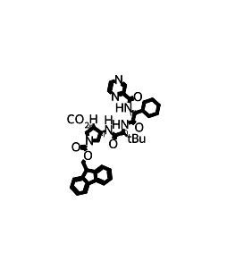 CC(C)(C)[C@H](NC(=O)[C@@H](NC(=O)c1cnccn1)C1CCCCC1)C(=O)N[C@H]1CN(C(=O)OCC2c3ccccc3-c3ccccc32)C[C@H]1C(=O)O